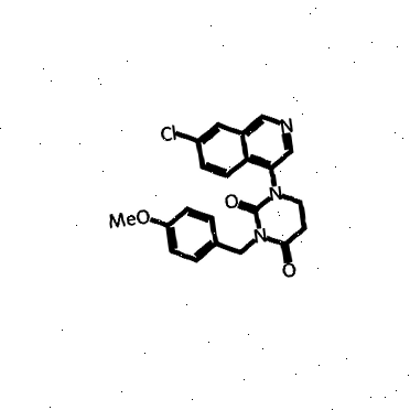 COc1ccc(CN2C(=O)CCN(c3cncc4cc(Cl)ccc34)C2=O)cc1